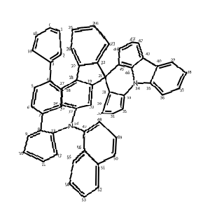 c1ccc(-c2ccc(-c3ccccc3N(c3ccc4c(c3)C3(c5ccccc5-4)c4ccccc4-n4c5ccccc5c5cccc3c54)c3cccc4ccccc34)cc2)cc1